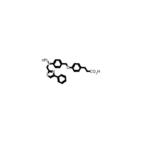 CCCN(Cc1nc(-c2ccccc2)cs1)c1ccc(COc2ccc(CCC(=O)O)cc2)cc1